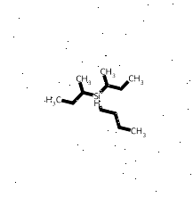 CCCC[SiH](C(C)CC)C(C)CC